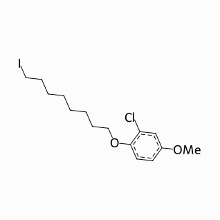 COc1ccc(OCCCCCCCCI)c(Cl)c1